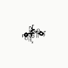 NC(=O)c1c(-c2ccc(F)c(Cl)c2)nn2c1CN(C(=O)NC1CCC(F)(F)CC1)C[C@H]2C(F)F